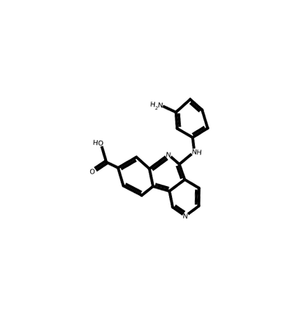 Nc1cccc(Nc2nc3cc(C(=O)O)ccc3c3cnccc23)c1